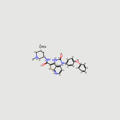 CO[C@@H]1C[C@@H](NC(=O)c2sc3nccc4c3c2NC(=O)N4c2ccc(Oc3ccccc3)cc2)CN(C)C1